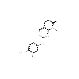 Cn1c(=O)ccc2cnc(Nc3ccc(O)c(Cl)c3)nc21